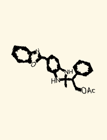 CC(=O)OCC(c1ccccc1)C1(C)Nc2ccc(-c3nc4ccccc4o3)cc2N1